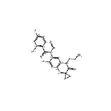 CCCN1C(=O)C2(CC2)Oc2cc(F)c(N(C=O)C(=O)c3ccc(F)cc3C)cc21